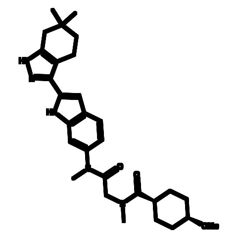 CO[C@H]1CC[C@@H](C(=O)N(C)CC(=O)N(C)c2ccc3cc(-c4n[nH]c5c4CCC(C)(C)C5)[nH]c3c2)CC1